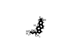 CC(CCC(C)(C)O)[C@H]1CCC2C3CC=C4C[C@](O)(C(F)(F)F)CC[C@]4(C)C3CC[C@@]21C